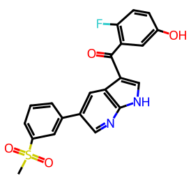 CS(=O)(=O)c1cccc(-c2cnc3[nH]cc(C(=O)c4cc(O)ccc4F)c3c2)c1